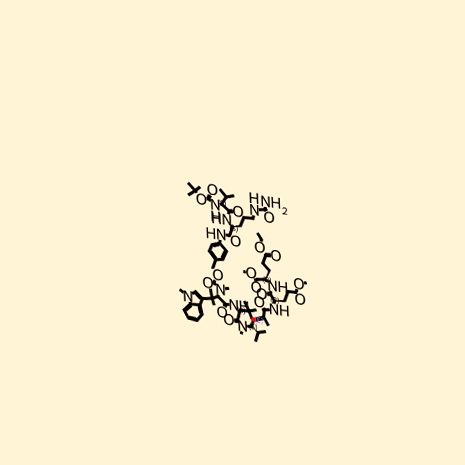 CCOC(=O)CC[C@@H](NC(=O)[C@@H](CCC(=O)OC)NC(=O)/C(C)=C/[C@H](C(C)C)N(C)C(=O)[C@@H](NC(=O)C(N(C)C(=O)OCc1ccc(NC(=O)[C@H](CCCNC(N)=O)NC(=O)[C@@H](NC(=O)OC(C)(C)C)C(C)C)cc1)C(C)(C)c1cn(C)c2ccccc12)C(C)(C)C)C(=O)OC